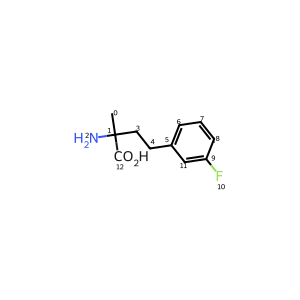 CC(N)(CCc1cc[c]c(F)c1)C(=O)O